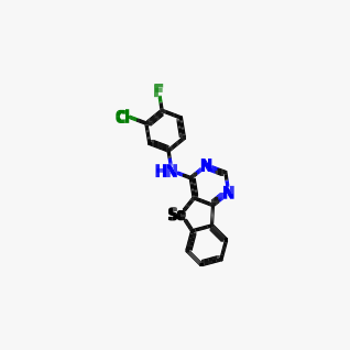 Fc1ccc(Nc2ncnc3c2[se]c2ccccc23)cc1Cl